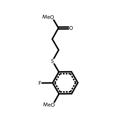 COC(=O)CCSc1cccc(OC)c1F